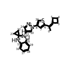 CC(=C1CCC1)c1cc(-n2cc(NC3(Nc4ccccc4Cl)CC3)cn2)cs1